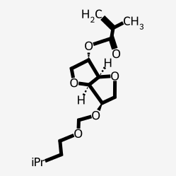 C=C(C)C(=O)O[C@H]1CO[C@H]2[C@@H]1OC[C@H]2OCOCCC(C)C